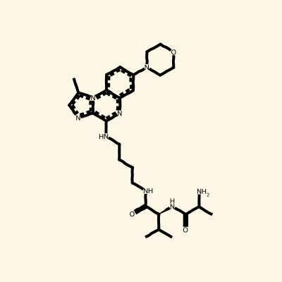 Cc1cnc2c(NCCCCNC(=O)[C@@H](NC(=O)C(C)N)C(C)C)nc3cc(N4CCOCC4)ccc3n12